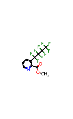 COC(=O)c1ncccc1C(F)(F)C(F)(F)C(F)(F)C(F)(F)F